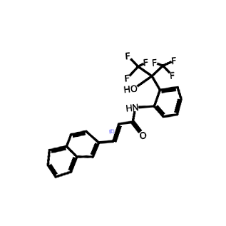 O=C(/C=C/c1ccc2ccccc2c1)Nc1ccccc1C(O)(C(F)(F)F)C(F)(F)F